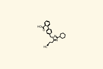 C#CCCc1nc(C2CCCCC2)nn1Cc1ccc(-c2ccccc2C(=O)O)cc1